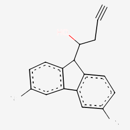 C#CCC(O)C1c2ccc(C#N)cc2-c2cc(C#N)ccc21